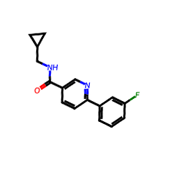 O=C(NCC1CC1)c1ccc(-c2cccc(F)c2)nc1